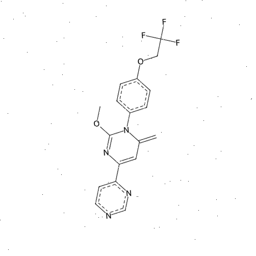 C=C1C=C(c2ccncn2)N=C(OC)N1c1ccc(OCC(F)(F)F)cc1